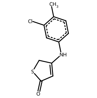 Cc1ccc(NC2=CC(=O)SC2)cc1Cl